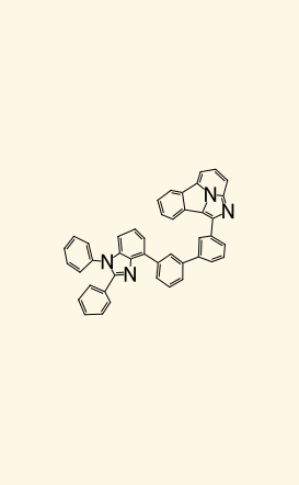 c1ccc(-c2nc3c(-c4cccc(-c5cccc(-c6nc7cccc8c9ccccc9c6n78)c5)c4)cccc3n2-c2ccccc2)cc1